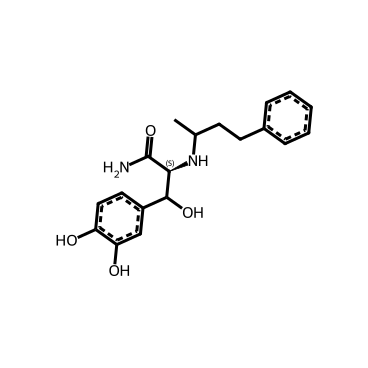 CC(CCc1ccccc1)N[C@H](C(N)=O)C(O)c1ccc(O)c(O)c1